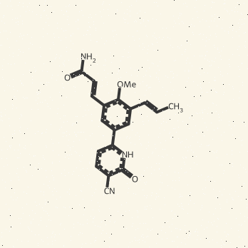 CC=Cc1cc(-c2ccc(C#N)c(=O)[nH]2)cc(C=CC(N)=O)c1OC